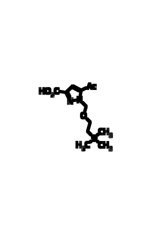 CC(=O)c1cc(C(=O)O)nn1COCC[Si](C)(C)C